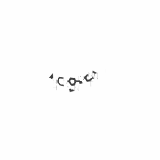 Cc1cn2cc(NC(=O)c3ccc(N4CCC(NC5CC5)CC4)c4nccnc34)cc(F)c2n1